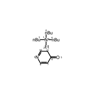 CCCC[N+](CC)(CCCC)CCCC.O=C1C=CN=CC1